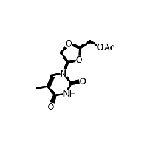 CC(=O)OCC1OCC(n2cc(C)c(=O)[nH]c2=O)O1